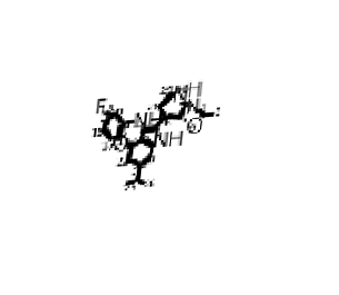 CC(=O)Nc1cc(-c2[nH]c3c(c2Nc2cccc(F)c2)C(=O)CC(C(C)C)C3)ccn1